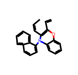 C=CC1=C(/C=C\C)N(c2cccc3ccccc23)c2ccccc2O1